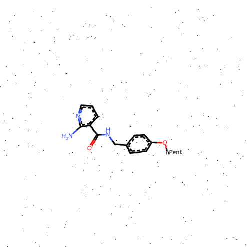 CCCCCOc1ccc(CNC(=O)c2cccnc2N)cc1